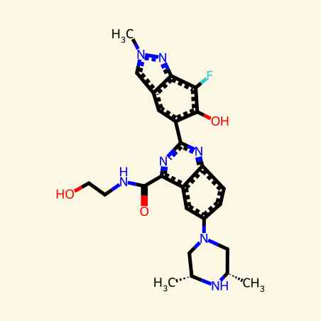 C[C@@H]1CN(c2ccc3nc(-c4cc5cn(C)nc5c(F)c4O)nc(C(=O)NCCO)c3c2)C[C@H](C)N1